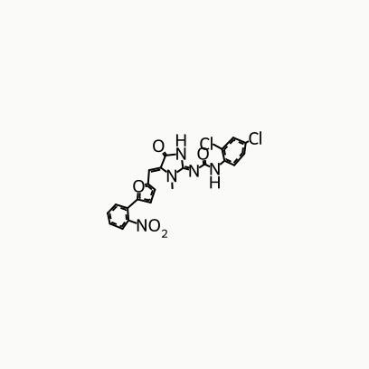 CN1/C(=C\c2ccc(-c3ccccc3[N+](=O)[O-])o2)C(=O)N/C1=N\C(=O)Nc1ccc(Cl)cc1Cl